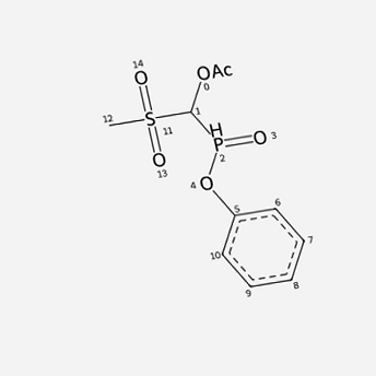 CC(=O)OC([PH](=O)Oc1ccccc1)S(C)(=O)=O